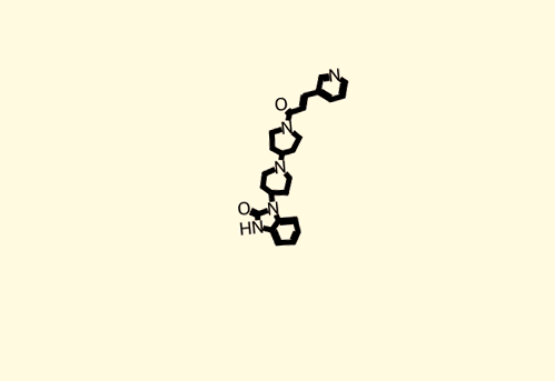 O=C(/C=C/c1cccnc1)N1CCC(N2CCC(n3c(=O)[nH]c4ccccc43)CC2)CC1